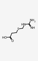 N=C(N)NCSCCC(=O)O